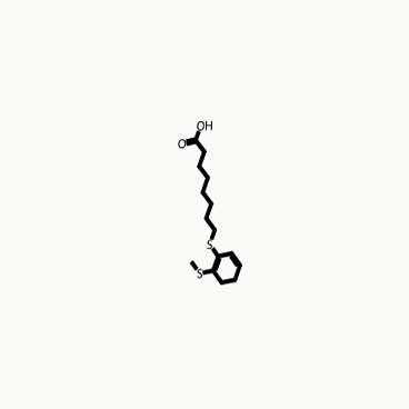 CSC1=C(SCCCCCCCC(=O)O)C=CCC1